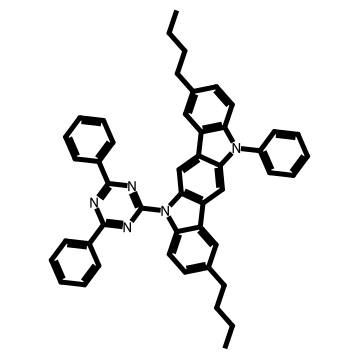 CCCCc1ccc2c(c1)c1cc3c(cc1n2-c1ccccc1)c1cc(CCCC)ccc1n3-c1nc(-c2ccccc2)nc(-c2ccccc2)n1